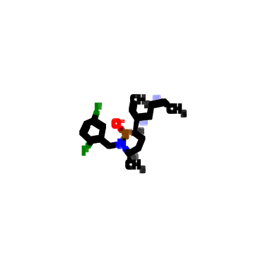 C=C/C(=C\C=C/C)[C@H]1CC[C@H](C)N(Cc2cc(F)ccc2F)[S+]1[O-]